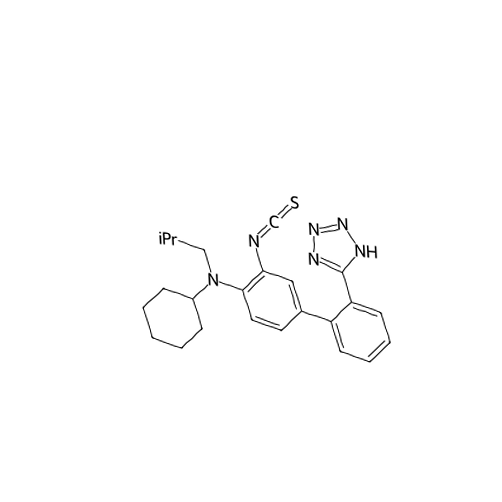 CC(C)CN(c1ccc(-c2ccccc2-c2nnn[nH]2)cc1N=C=S)C1CCCCC1